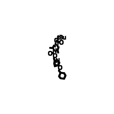 CC1CN(C(=O)OC(C)(C)C)CC(C)N1C(=O)OCc1ccc(OCC2CCCCC2)cn1